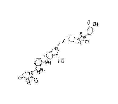 C[C@@H]1CN(CCC[C@H]2CC[C@H](N3C(=S)N(c4ccc(C#N)c(Cl)c4)C(=O)C3(C)C)CC2)C[C@H](C)N1CC(=O)Nc1cccc2c(N3CCC(=O)NC3=O)nn(C)c12.Cl